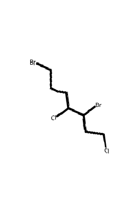 ClCCC(Br)C(Cl)CCCBr